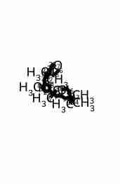 CN1CC(C(C)(C)CC2CC(C(C)(C)C)CCO2)CC1CC(C)(C)N1CCOCC1